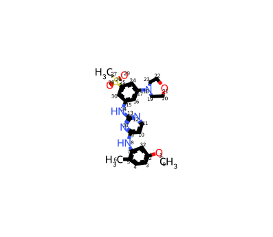 COc1ccc(C)c(Nc2ccnc(Nc3cc(N4CCOCC4)cc(S(C)(=O)=O)c3)n2)c1